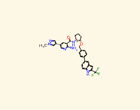 Cn1cc(-c2cnc(N)c(C(=O)N[C@H]3CCC[C@@H]3OCc3ccc(-c4ccc5[nH]c(C(F)(F)F)cc5c4)cc3)c2)cn1